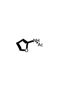 CC(=O)Nc1cc[c]o1